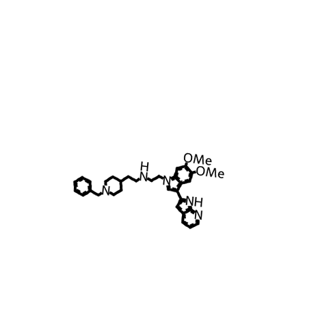 COc1cc2c(-c3cc4cccnc4[nH]3)cn(CCNCCC3CCN(Cc4ccccc4)CC3)c2cc1OC